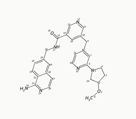 COC1CCN(c2cc(Cc3cncc(C(=O)NCc4ccc5c(N)nccc5c4)c3)ccn2)C1